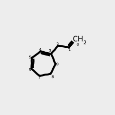 C=CCC1=CC=CCCC1